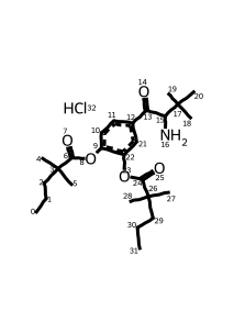 CCCC(C)(C)C(=O)Oc1ccc(C(=O)C(N)C(C)(C)C)cc1OC(=O)C(C)(C)CCC.Cl